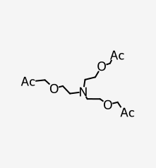 CC(=O)COCCN(CCOCC(C)=O)CCOCC(C)=O